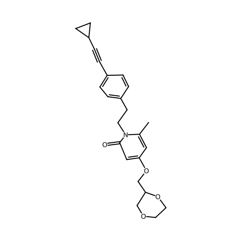 Cc1cc(OCC2COCCO2)cc(=O)n1CCc1ccc(C#CC2CC2)cc1